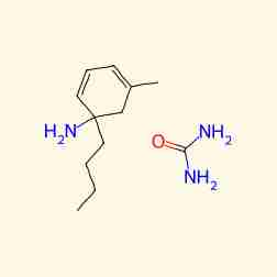 CCCCC1(N)C=CC=C(C)C1.NC(N)=O